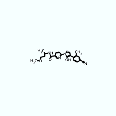 COCCC(C)NC(=O)c1ccc(-n2ncc(-c3ccc(C#N)cc3C)c2O)nc1